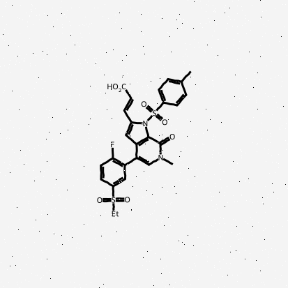 CCS(=O)(=O)c1ccc(F)c(-c2cn(C)c(=O)c3c2cc(C=CC(=O)O)n3S(=O)(=O)c2ccc(C)cc2)c1